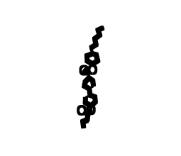 C/C=C/C(=O)O[C@H]1CC[C@H]([C@H]2CC[C@H](C(=O)O[C@H]3CC[C@H](CCCCCC)CC3)CC2)CC1